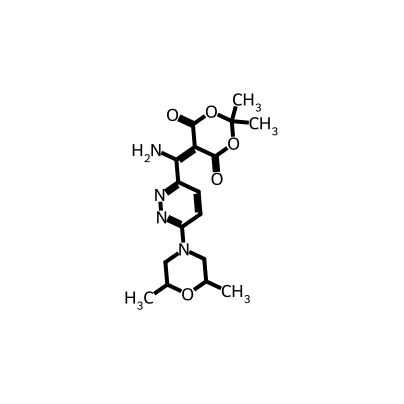 CC1CN(c2ccc(C(N)=C3C(=O)OC(C)(C)OC3=O)nn2)CC(C)O1